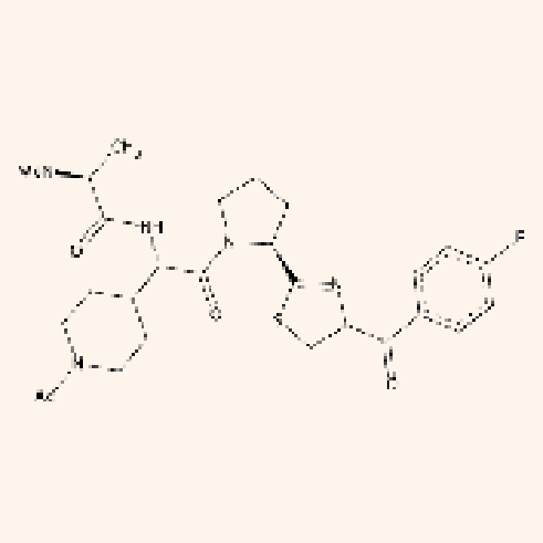 CN[C@@H](C)C(=O)N[C@H](C(=O)N1CCC[C@H]1C1=NC(C(=O)c2ccc(F)cc2)CS1)C1CCN(C(C)=O)CC1